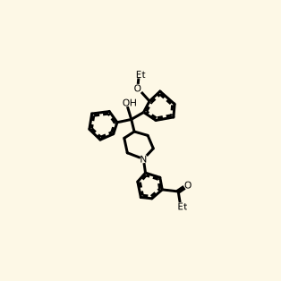 CCOc1ccccc1C(O)(c1ccccc1)C1CCN(c2cccc(C(=O)CC)c2)CC1